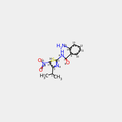 CC(C)c1nc(NC(=O)c2ccccc2N)sc1[N+](=O)[O-]